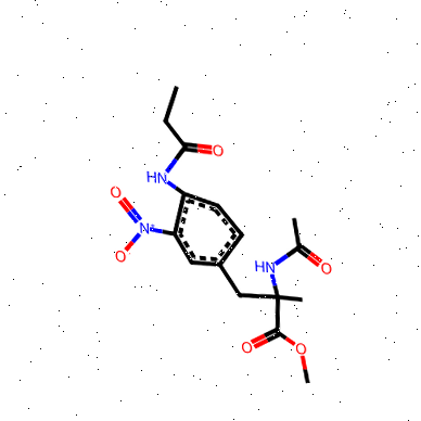 CCC(=O)Nc1ccc(CC(C)(NC(C)=O)C(=O)OC)cc1[N+](=O)[O-]